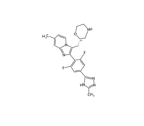 Cc1ccn2c(C[C@H]3CNCCO3)c(-c3c(F)cc(-c4nnc(C)[nH]4)cc3F)nc2c1